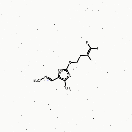 Cc1nc(SCCC(F)=C(F)F)oc1/C=N/OCC(C)C